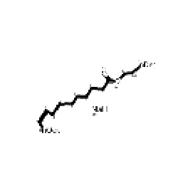 CCCCCCCC/C=C\CCCCCCCC(=O)OCCCCCCCCCCCC.[NaH]